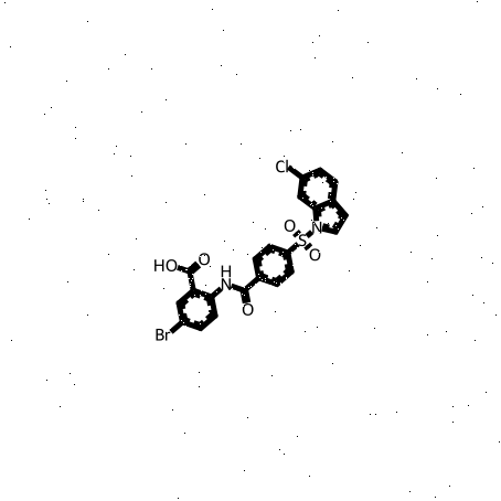 O=C(Nc1ccc(Br)cc1C(=O)O)c1ccc(S(=O)(=O)n2ccc3ccc(Cl)cc32)cc1